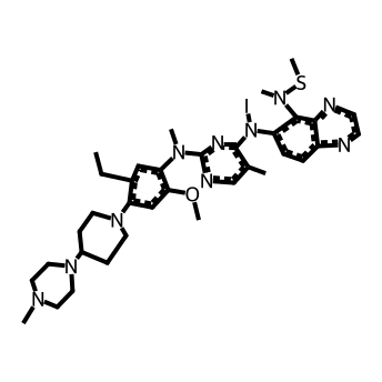 CCc1cc(N(C)c2ncc(C)c(N(I)c3ccc4nccnc4c3N(C)SC)n2)c(OC)cc1N1CCC(N2CCN(C)CC2)CC1